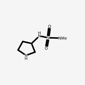 CNS(=O)(=O)NC1CCNC1